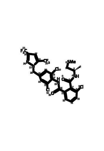 CSC[C@H](C)NC(=O)c1c(Cl)cccc1C(=O)Nc1c(Cl)cc(Cn2nc(C(F)(F)F)cc2C(F)(F)F)cc1Cl